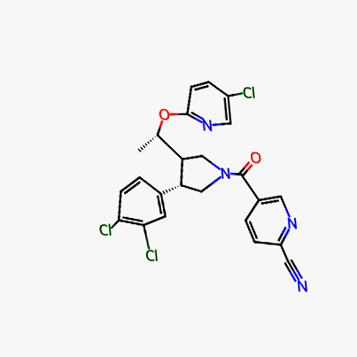 C[C@H](Oc1ccc(Cl)cn1)C1CN(C(=O)c2ccc(C#N)nc2)C[C@@H]1c1ccc(Cl)c(Cl)c1